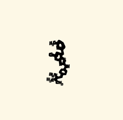 Cc1cccc(CC2=C3N=C(NC4CCN(CC(N)C(C)C)CC4)N=C3CC(Cl)=C2)n1